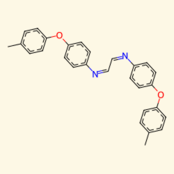 Cc1ccc(Oc2ccc(/N=C\C=N/c3ccc(Oc4ccc(C)cc4)cc3)cc2)cc1